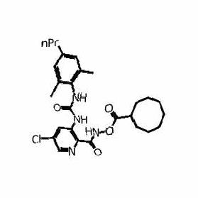 CCCc1cc(C)c(NC(=O)Nc2cc(Cl)cnc2C(=O)NOC(=O)C2CCCCCCC2)c(C)c1